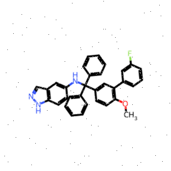 COc1ccc(C(Nc2ccc3[nH]ncc3c2)(c2ccccc2)c2ccccc2)cc1-c1cccc(F)c1